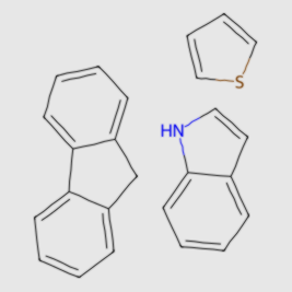 c1ccc2[nH]ccc2c1.c1ccc2c(c1)Cc1ccccc1-2.c1ccsc1